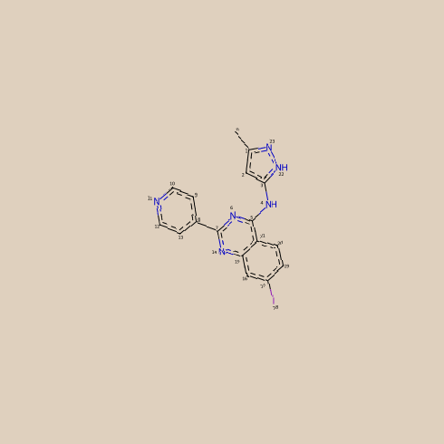 Cc1cc(Nc2nc(-c3ccncc3)nc3cc(I)ccc23)[nH]n1